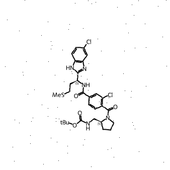 CSCC[C@H](NC(=O)c1ccc(C(=O)N2CCC[C@H]2CNC(=O)OC(C)(C)C)c(Cl)c1)c1nc2cc(Cl)ccc2[nH]1